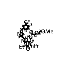 CCCn1c(=O)c2c(nc(-c3cnn(Cc4cccc(C(F)(F)F)c4)c3)n2COC(=O)COCCOC)n(CC)c1=O